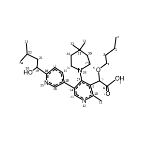 CCCCOC(C(=O)O)c1c(C)ncc(-c2ccc(C(O)CC(C)C)nc2)c1N1CCC(C)(C)CC1